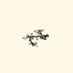 CC(CCCNC(=N)N)NC(=O)C(CCC(N)=O)NC(=O)CCSNCCNC(=O)C(CCCNC(=N)N)NC(=O)C1CCCN1C(=O)C1CCCN1C